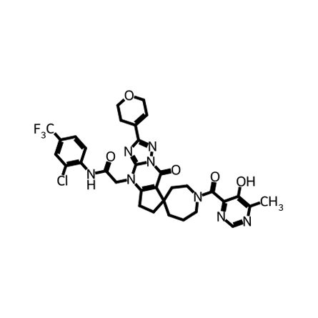 Cc1ncnc(C(=O)N2CCCC3(CCc4c3c(=O)n3nc(C5=CCOCC5)nc3n4CC(=O)Nc3ccc(C(F)(F)F)cc3Cl)CC2)c1O